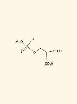 COP(=S)(S)OCC(C(=O)O)C(=O)O